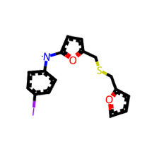 Ic1ccc([N]c2ccc(CSCc3ccco3)o2)cc1